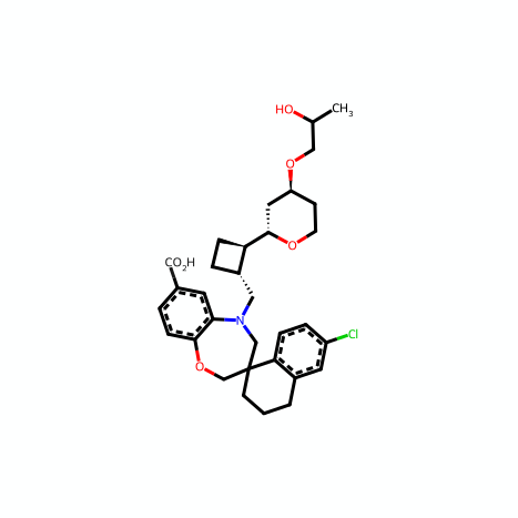 CC(O)CO[C@H]1CCO[C@H]([C@@H]2CC[C@H]2CN2CC3(CCCc4cc(Cl)ccc43)COc3ccc(C(=O)O)cc32)C1